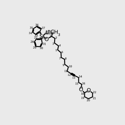 CC(CCCCCCCCCCC#CCCCOC1CCCCO1)O[Si](c1ccccc1)(c1ccccc1)C(C)(C)C